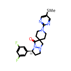 CSc1cnc(N2CCC3(CC2)CN2CC[C@@H](c4cc(F)cc(F)c4)N2C3=O)nc1